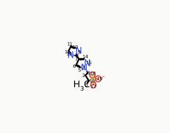 CC(CC[n+]1ccc(-c2ncccn2)cn1)S(=O)(=O)[O-]